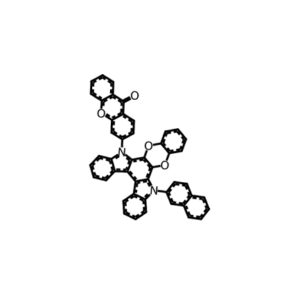 O=c1c2ccccc2oc2cc(-n3c4ccccc4c4c5c6ccccc6n(-c6ccc7ccccc7c6)c5c5c(c43)Oc3ccccc3O5)ccc12